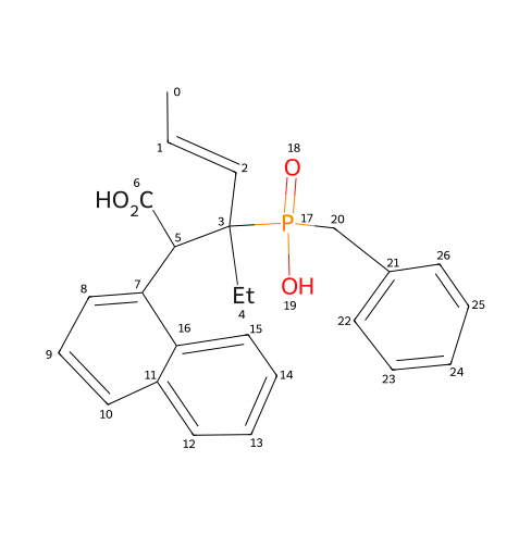 CC=CC(CC)(C(C(=O)O)c1cccc2ccccc12)P(=O)(O)Cc1ccccc1